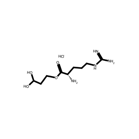 Cl.N=C(N)NCCC[C@H](N)C(=O)OCCC(O)O